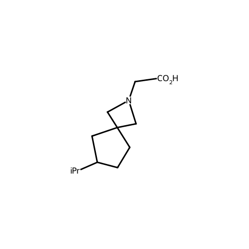 CC(C)C1CCC2(C1)CN(CC(=O)O)C2